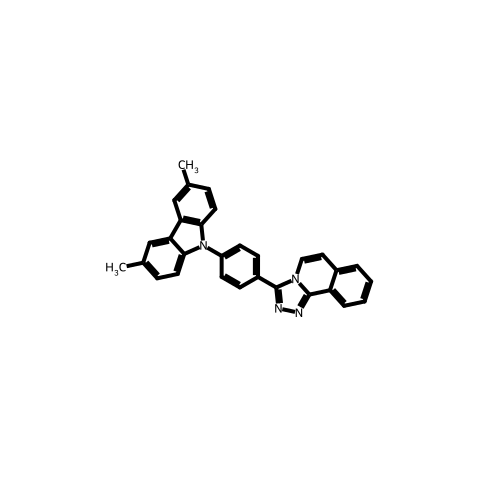 Cc1ccc2c(c1)c1cc(C)ccc1n2-c1ccc(-c2nnc3c4ccccc4ccn23)cc1